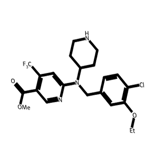 CCOc1cc(CN(c2cc(C(F)(F)F)c(C(=O)OC)cn2)C2CCNCC2)ccc1Cl